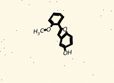 COc1ccccc1-c1cc2cc(O)ccc2o1